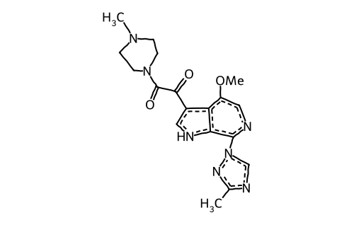 COc1cnc(-n2cnc(C)n2)c2[nH]cc(C(=O)C(=O)N3CCN(C)CC3)c12